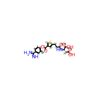 N=C(N)c1ccc(OC(=O)c2csc(CCC(=O)N[C@@H](CC(=O)O)C(=O)O)c2)c(F)c1